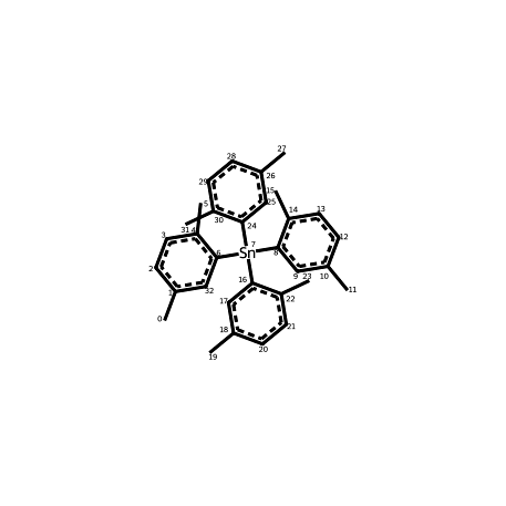 Cc1ccc(C)[c]([Sn]([c]2cc(C)ccc2C)([c]2cc(C)ccc2C)[c]2cc(C)ccc2C)c1